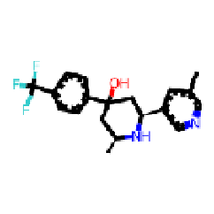 Cc1cncc([C@@H]2CC(O)(c3ccc(C(F)(F)F)cc3)C[C@H](C)N2)c1